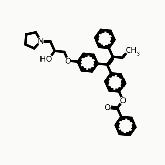 CCC(=C(c1ccc(OCC(O)CN2CCCC2)cc1)c1ccc(OC(=O)c2ccccc2)cc1)c1ccccc1